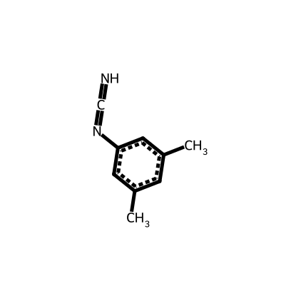 Cc1cc(C)cc(N=C=N)c1